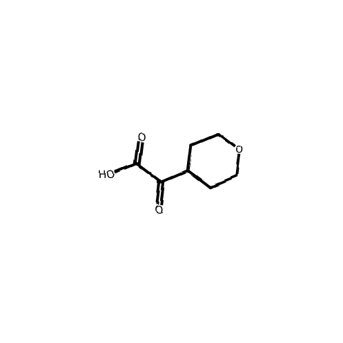 O=C(O)C(=O)C1CCOCC1